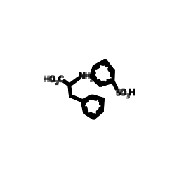 NC(Cc1ccccc1)C(=O)O.O=S(=O)(O)c1ccccc1